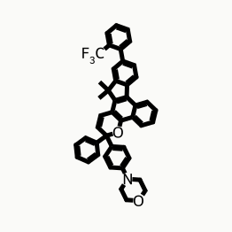 CC1(C)c2cc(-c3ccccc3C(F)(F)F)ccc2-c2c1c1c(c3ccccc23)OC(c2ccccc2)(c2ccc(N3CCOCC3)cc2)C=C1